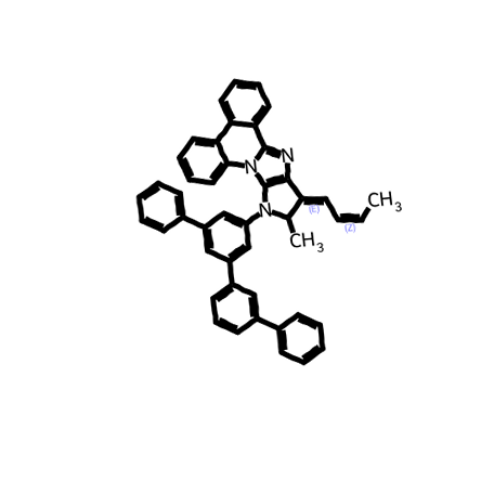 C/C=C\C=C1\c2nc3c4ccccc4c4ccccc4n3c2N(c2cc(-c3ccccc3)cc(-c3cccc(-c4ccccc4)c3)c2)C1C